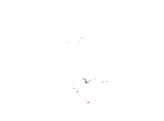 C=C[C@@H]1[C@@H](C/C=C\CCCC(=O)OC)[C@@H](O)C[C@H]1O